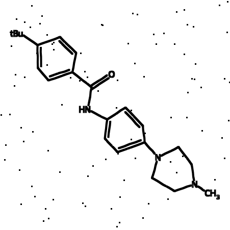 CN1CCN(c2ccc(NC(=O)c3ccc(C(C)(C)C)cc3)cc2)CC1